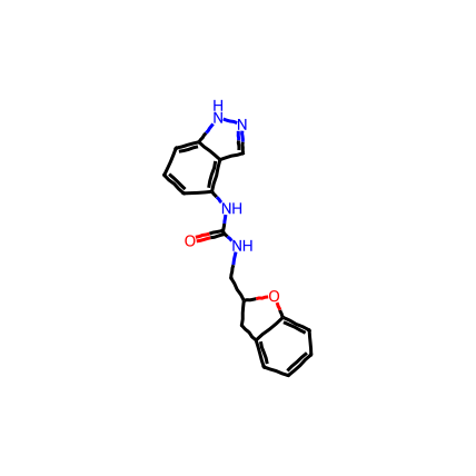 O=C(NCC1Cc2ccccc2O1)Nc1cccc2[nH]ncc12